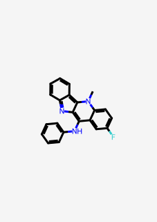 Cn1c2c3ccccc3nc-2c(Nc2ccccc2)c2cc(F)ccc21